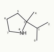 CC(C)C1(C)CCCN1